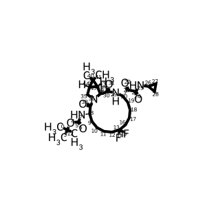 CC(C)(C)OC(=O)N[C@H]1CCCCC(F)(F)CCCC[C@@H](C(=O)C(=O)NC2CC2)NC(=O)[C@@H]2[C@@H]3[C@H](CN2C1=O)C3(C)C